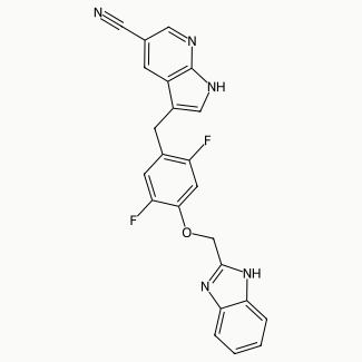 N#Cc1cnc2[nH]cc(Cc3cc(F)c(OCc4nc5ccccc5[nH]4)cc3F)c2c1